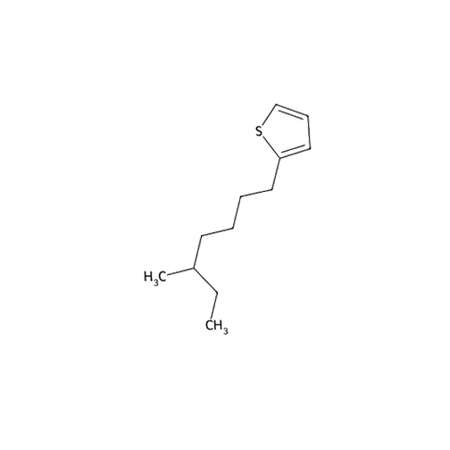 CCC(C)CCCCc1cccs1